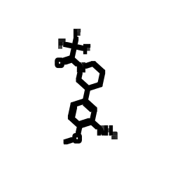 COc1ccc(C2CCCN(C(=O)C(F)(F)F)C2)cc1N